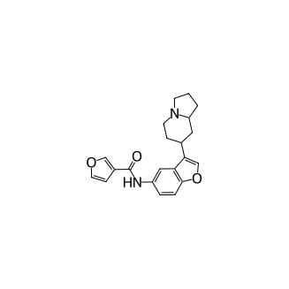 O=C(Nc1ccc2occ(C3CCN4CCCC4C3)c2c1)c1ccoc1